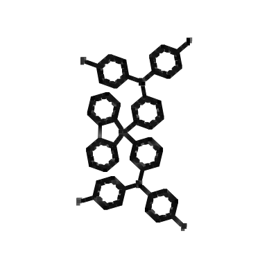 Fc1ccc(N(c2ccc(F)cc2)c2cccc([Si]3(c4cccc(N(c5ccc(F)cc5)c5ccc(F)cc5)c4)c4ccccc4-c4ccccc43)c2)cc1